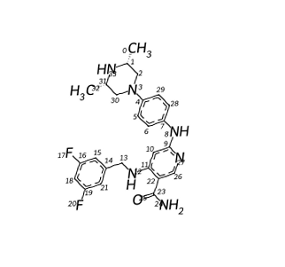 C[C@@H]1CN(c2ccc(Nc3cc(NCc4cc(F)cc(F)c4)c(C(N)=O)cn3)cc2)C[C@H](C)N1